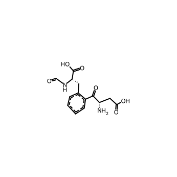 N[C@@H](CC(=O)O)C(=O)c1ccccc1C[C@H](NC=O)C(=O)O